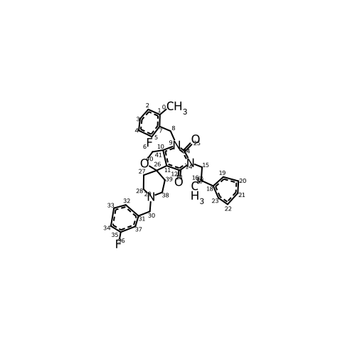 Cc1cccc(F)c1Cn1c2c(c(=O)n(C[C@H](C)c3ccccc3)c1=O)C1(CCN(Cc3cccc(F)c3)CC1)OC2